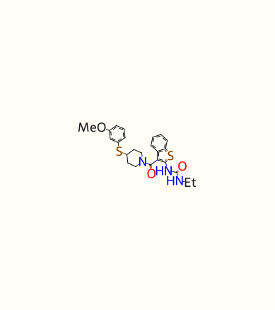 CCNC(=O)Nc1sc2ccccc2c1C(=O)N1CCC(Sc2cccc(OC)c2)CC1